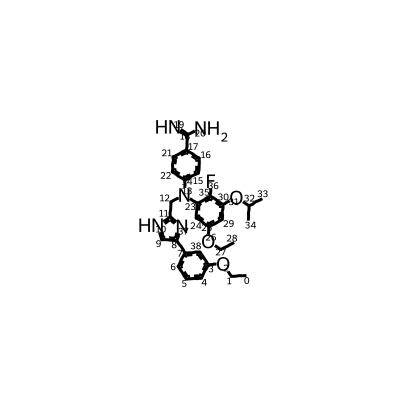 CCOc1cccc(-c2c[nH]c(CN(c3ccc(C(=N)N)cc3)c3cc(OCC)cc(OC(C)C)c3F)n2)c1